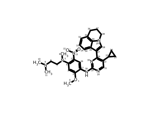 COc1cc(N(C)CCN(C)C)c([N+](=O)[O-])cc1Nc1ncc(C2CC2)c(-c2cn3c4c(cccc24)CCC3)n1